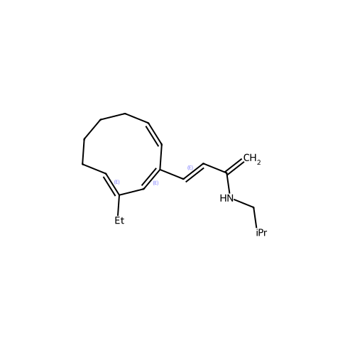 C=C(/C=C/C1=C/C(CC)=C/CCCCC=C1)NCC(C)C